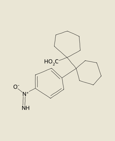 N=[N+]([O-])c1ccc(C2(C3(C(=O)O)CCCCC3)CCCCC2)cc1